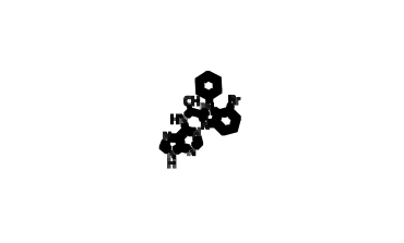 C[C@H](Nc1ncnc2[nH]cnc12)c1nc2cccc(Br)c2n1-c1ccccc1